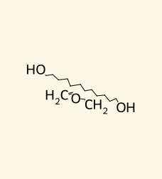 C=COC=C.OCCCCCCCCCCCCO